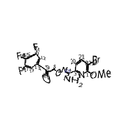 COc1nc(/C(N)=N/OCC(=O)c2cc(F)c(F)c(F)c2)ccc1Br